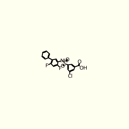 O=C(O)c1cc(Cl)cc(S(=O)(=O)Nc2cc(-c3ccccc3)c(F)cc2F)c1